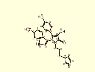 Cc1ccc2c(C3C(c4ccc(O)cc4)=C(O)C(=O)N3CCCn3ccnc3)c[nH]c2c1